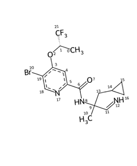 C[C@H](Oc1cc(C(=O)NC(C)(C=N)CC2CC2)ncc1Br)C(F)(F)F